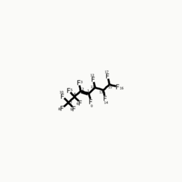 FC(=C(F)C(F)(F)C(F)(F)F)C(F)C(F)C(F)F